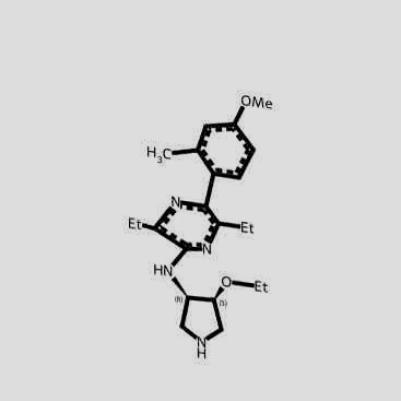 CCO[C@H]1CNC[C@H]1Nc1nc(CC)c(-c2ccc(OC)cc2C)nc1CC